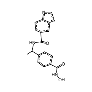 CC(NC(=O)c1ccc2ncsc2c1)c1ccc(C(=O)NO)cc1